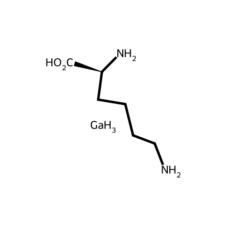 NCCCC[C@H](N)C(=O)O.[GaH3]